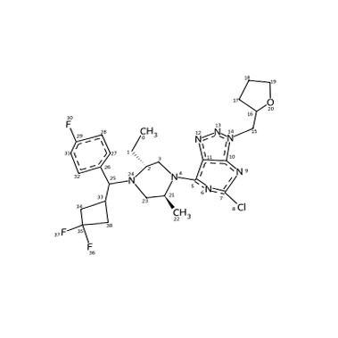 CC[C@@H]1CN(c2nc(Cl)nc3c2nnn3CC2CCCO2)[C@@H](C)CN1C(c1ccc(F)cc1)C1CC(F)(F)C1